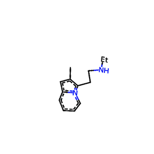 CCNCCc1c(C)cc2ccccn12